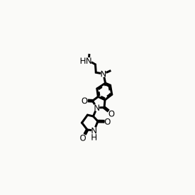 CNCCN(C)c1ccc2c(c1)C(=O)N(C1CCC(=O)NC1=O)C2=O